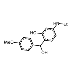 CCNc1ccc(C(O)c2ccc(OC)cc2)c(O)c1